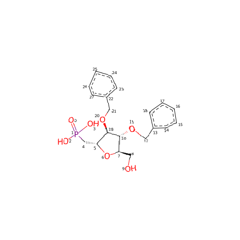 O=P(O)(O)C[C@H]1O[C@H](CO)[C@@H](OCc2ccccc2)[C@@H]1OCc1ccccc1